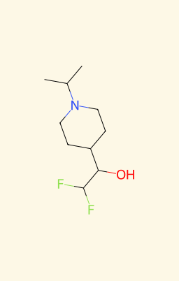 CC(C)N1CCC(C(O)C(F)F)CC1